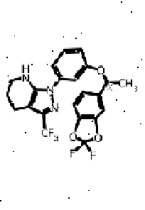 C[C@H](Oc1cccc(-n2nc(C(F)(F)F)c3c2NCCC3)c1)c1ccc2c(c1)OC(F)(F)O2